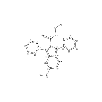 CCCC(=O)c1c(-c2ccccc2)c2cc(OC)ccc2n1-c1ccccn1